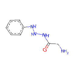 NCC(=O)NNNc1ccccc1